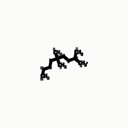 [CH2]C(C)CCC(C)(C)CCCC